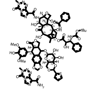 CC(=O)O[C@@]12CO[C@@H]1C[C@H](O)[C@@]1(C)C(=O)[C@H](O)C3=C(C)[C@@H](OC(=O)C(O)[C@@H](NC(=O)OC(C)(C)C)c4ccccc4)C[C@@](O)([C@@H](OC(=O)c4ccccc4)[C@H]21)C3(C)C.COc1cc([C@@H]2c3cc4c(cc3C(O[C@@H]3O[C@@H]5COC(c6cccs6)O[C@H]5[C@H](O)[C@H]3O)C3COC(=O)[C@@H]32)OCO4)cc(OC)c1O.Cn1nnc2c(C(N)=O)ncn2c1=O.Cn1nnc2c(C(N)=O)ncn2c1=O